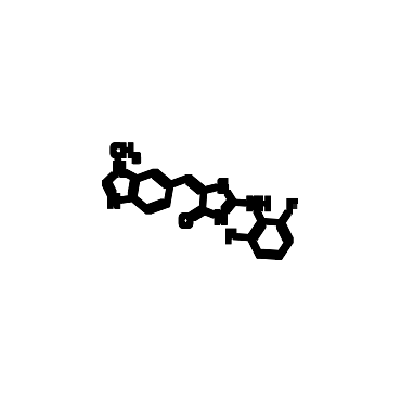 Cn1cnc2ccc(C=C3SC(Nc4c(F)cccc4F)=NC3=O)cc21